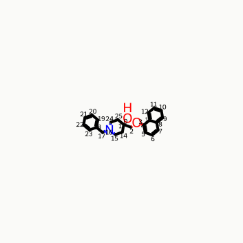 OC1(COc2cccc3ccccc23)CCN(Cc2ccccc2)CC1